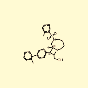 Cc1ccccc1-c1ccc([C@@H]2C(CO)N3CCCCN(S(=O)(=O)c4ccccc4C)C[C@@H]23)cc1